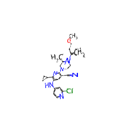 C=C(CCOC)N1CCN(c2nc(C3CC3)c(Nc3ccnc(Cl)c3)cc2C#N)C[C@H]1C